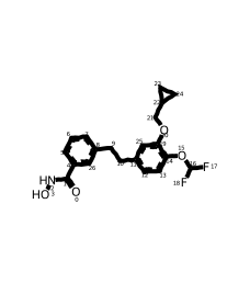 O=C(NO)c1cccc(CCc2ccc(OC(F)F)c(OCC3CC3)c2)c1